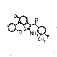 Cc1cc(C(=O)c2c(N)sc3c2ccc(=O)n3-c2ccccc2Cl)ccc1F